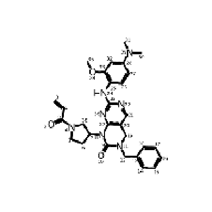 C=CC(=O)N1CC[C@H](N2C(=O)N(Cc3ccccc3)Cc3cnc(Nc4ccc(N(C)C)cc4OC)nc32)C1